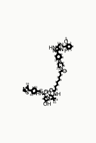 COc1cccc(F)c1-c1ncc2[nH]nc(-c3ccc(N4CCN(C(=O)CCCCCCCCC(=O)N[C@H](C(=O)N5C[C@H](O)C[C@H]5C(=O)NCc5ccc(-c6scnc6C)cc5)C(C)(C)C)CC4)cc3)c2n1